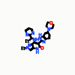 CCC(Nc1c(-c2nc3ccc(N4CCOCC4)cc3[nH]2)c(=O)[nH]c2cn(CC)nc12)c1ncccn1